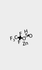 O=[SH]OC(F)(F)C(F)(F)F.[Zn]